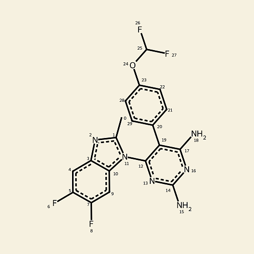 Cc1nc2cc(F)c(F)cc2n1-c1nc(N)nc(N)c1-c1ccc(OC(F)F)cc1